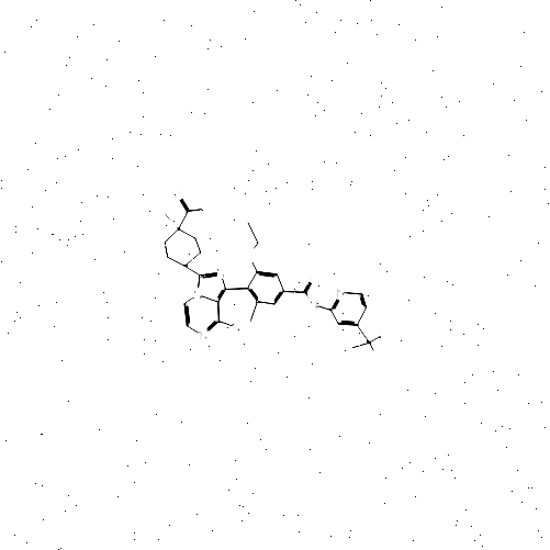 CCOc1cc(C(=O)Nc2cc(C(F)(F)F)ccn2)cc(F)c1-c1nc([C@]2(C)CC[C@@](C)(C(=O)O)CC2)n2ccnc(N)c12